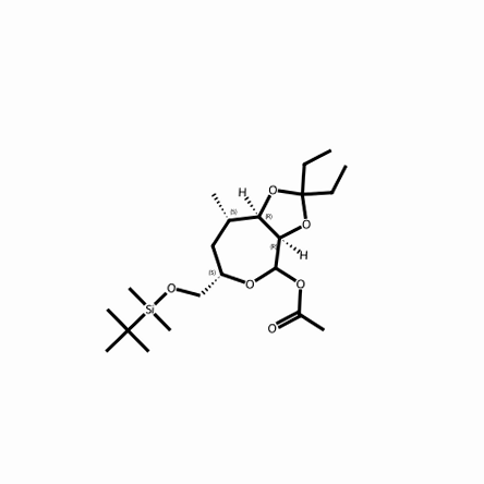 CCC1(CC)O[C@@H]2[C@@H](C)C[C@@H](CO[Si](C)(C)C(C)(C)C)OC(OC(C)=O)[C@@H]2O1